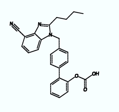 CCCCc1nc2c(C#N)cccc2n1Cc1ccc(-c2ccccc2OC(=O)O)cc1